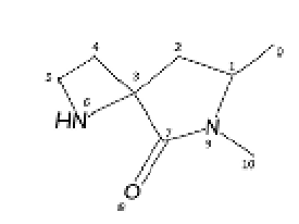 CC1CC2(CCN2)C(=O)N1C